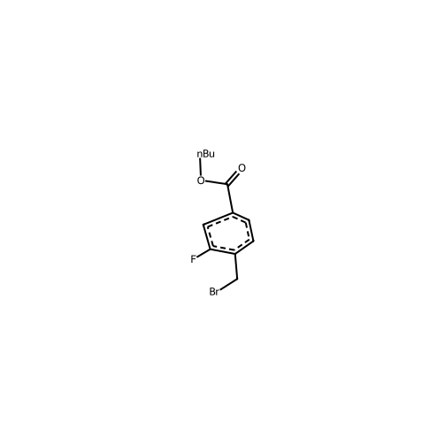 CCCCOC(=O)c1ccc(CBr)c(F)c1